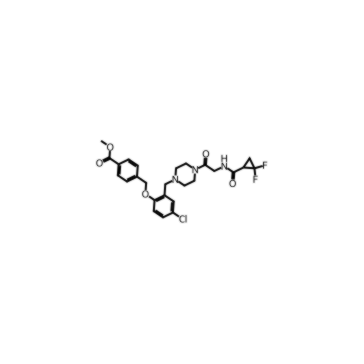 COC(=O)c1ccc(COc2ccc(Cl)cc2CN2CCN(C(=O)CNC(=O)C3CC3(F)F)CC2)cc1